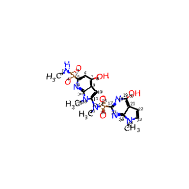 CNS(=O)(=O)c1cc(O)c2cc(N(C)S(=O)(=O)c3nc(O)c4ccn(C)c4n3)n(C)c2n1